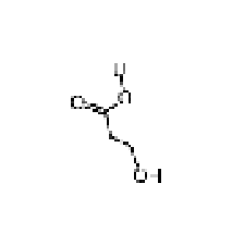 O=C(CCO)[O][U]